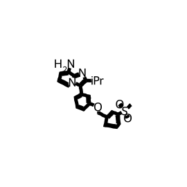 CC(C)c1nc2c(N)cccn2c1-c1cccc(OCc2cccc(S(C)(=O)=O)c2)c1